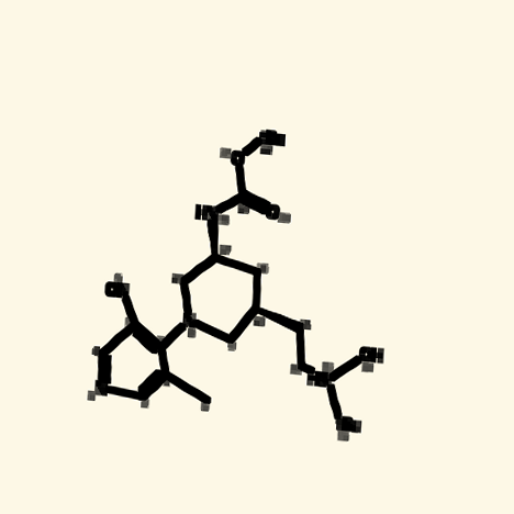 Cc1cncc(N=O)c1N1C[C@H](CC[SiH](O)C(C)(C)C)C[C@H](NC(=O)OC(C)(C)C)C1